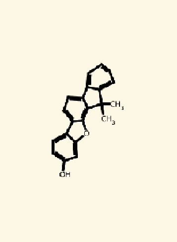 CC1(C)c2ccccc2-c2ccc3c(oc4cc(O)ccc43)c21